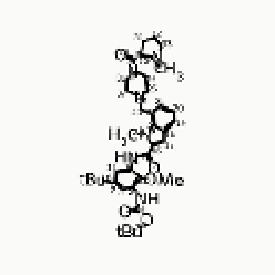 COc1c(NC(=O)OC(C)(C)C)cc(C(C)(C)C)cc1NC(=O)c1cc2cccc(CN3CCN(C(=O)[C@@H]4CCCN4C)CC3)c2n1C